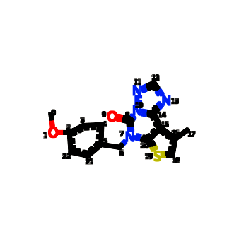 COc1ccc(Cn2c(=O)n3ncnc3c3c(C)csc32)cc1